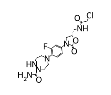 NC(=O)N1CCN(c2ccc(N3C[C@H](CNC(=O)CCl)OC3=O)cc2F)CCN1